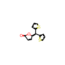 O=C1C=CC(=C(c2cccs2)c2cccs2)O1